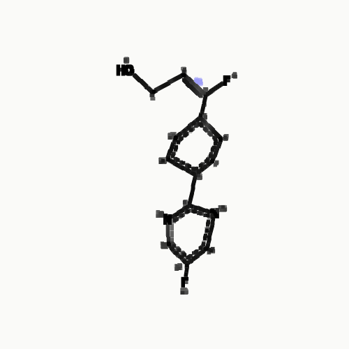 OC/C=C(/F)c1ccc(-c2ncc(F)cn2)cc1